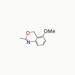 COc1cccc2c1COC(C)=N2